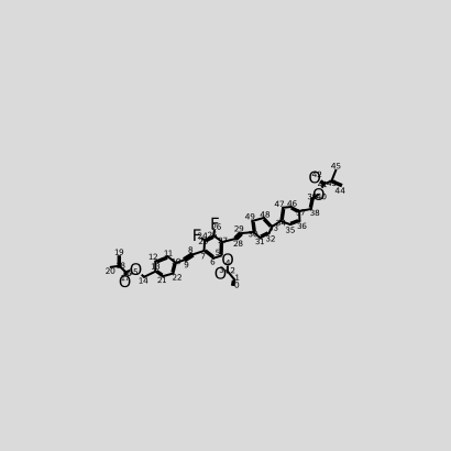 C=CC(=O)Oc1cc(C#Cc2ccc(COC(=O)C(=C)C)cc2)c(F)c(F)c1C#Cc1ccc(-c2ccc(/C=C/OC(=O)C(=C)C)cc2)cc1